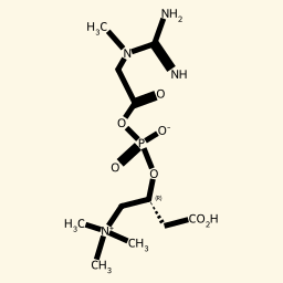 CN(CC(=O)OP(=O)([O-])O[C@H](CC(=O)O)C[N+](C)(C)C)C(=N)N